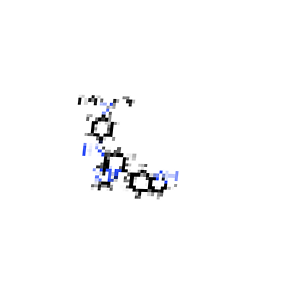 CCCN(CCC)c1ccc(Nc2ccc(-c3ccc4cc[nH]c4c3)n3ccnc23)cc1